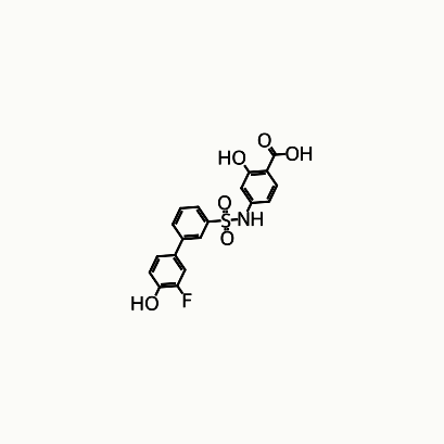 O=C(O)c1ccc(NS(=O)(=O)c2cccc(-c3ccc(O)c(F)c3)c2)cc1O